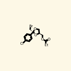 CCC(=O)OC[C@@H]1CO[C@](CBr)(c2ccc(Cl)cc2)O1